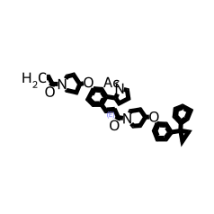 C=CC(=O)N1CCC(Oc2ccc(/C=C/C(=O)N3CCC(Oc4cccc(C5(c6ccccc6)CC5)c4)CC3)c(C3CCCN3C(C)=O)c2)CC1